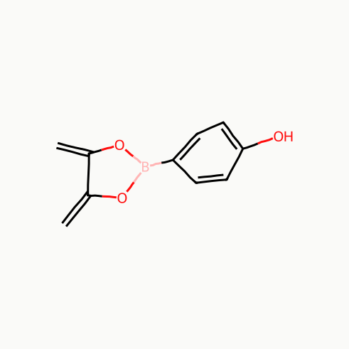 C=C1OB(c2ccc(O)cc2)OC1=C